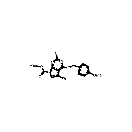 COc1ccc(COc2nc(Cl)nc3c2c(Br)cn3C(=O)OC(C)(C)C)cc1